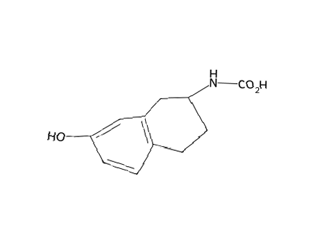 O=C(O)NC1CCc2ccc(O)cc2C1